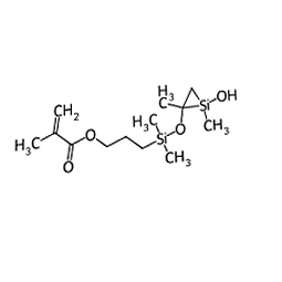 C=C(C)C(=O)OCCC[Si](C)(C)OC1(C)C[Si]1(C)O